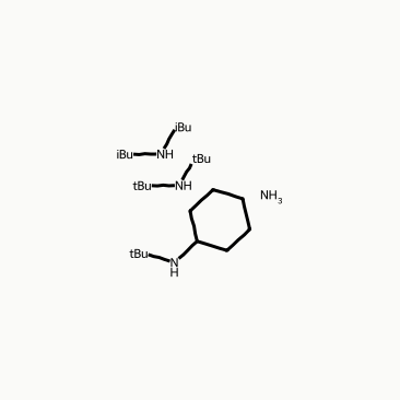 CC(C)(C)NC(C)(C)C.CC(C)(C)NC1CCCCC1.CCC(C)NC(C)CC.N